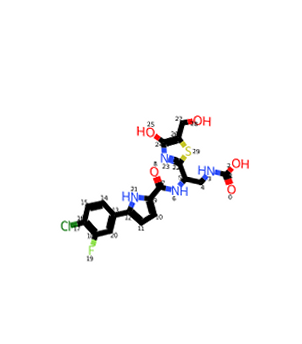 O=C(O)NCC(NC(=O)c1ccc(-c2ccc(Cl)c(F)c2)[nH]1)c1nc(O)c(CO)s1